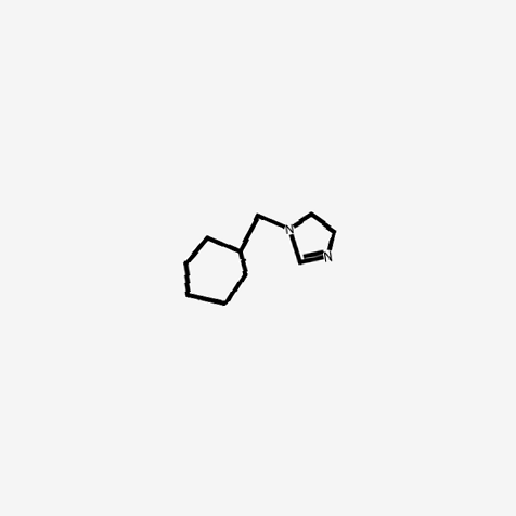 C1=NCCN1CC1CCCCC1